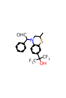 CC1CN(C(C=O)c2ccccc2)c2ccc(C(O)(C(F)(F)F)C(F)(F)F)cc2S1